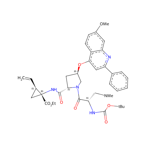 C=C[C@@H]1C[C@]1(NC(=O)[C@@H]1C[C@@H](Oc2cc(-c3ccccc3)nc3cc(OC)ccc23)CN1C(=O)[C@H](CNC)NC(=O)OC(C)(C)C)C(=O)OCC